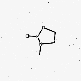 CN1CCOP1Cl